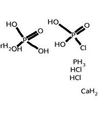 Cl.Cl.O=P(O)(O)Cl.O=P(O)(O)O.P.[CaH2].[SrH2]